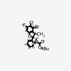 C[C@H]1c2c(cc(F)c(Cl)c2Br)O[C@]1(CNC(=O)OC(C)(C)C)c1ccccn1